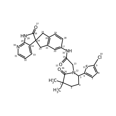 CC1(C)CCC(c2ccc(Cl)s2)N(CC(=O)Nc2ccc3c(c2)CC2(C3)C(=O)Nc3ncccc32)C1=O